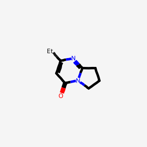 CCc1cc(=O)n2c(n1)CCC2